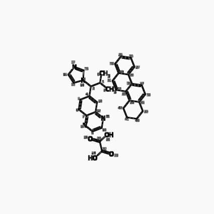 CC(C)C(c1ccc2nccnc2c1)n1ccnc1.O=C(O)C(=O)O.c1ccc2c(c1)ccc1c3c(ccc12)CCCC3